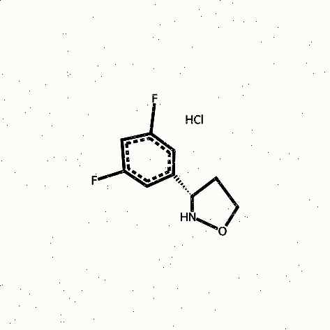 Cl.Fc1cc(F)cc([C@@H]2CCON2)c1